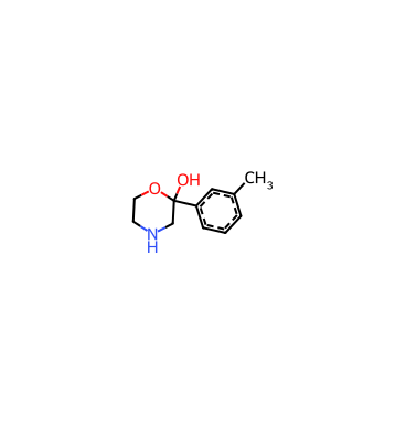 Cc1cccc(C2(O)CNCCO2)c1